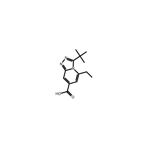 CCc1cc(C(=O)O)cc2nnc(C(C)(C)C)n12